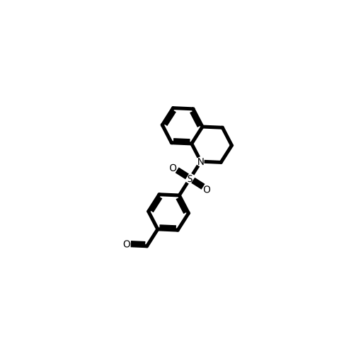 O=Cc1ccc(S(=O)(=O)N2CCCc3ccccc32)cc1